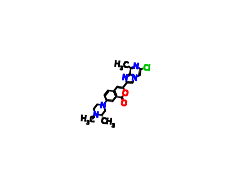 Cc1nc(Cl)cn2cc(-c3cc4ccc(N5CCN(C)[C@@H](C)C5)cc4c(=O)o3)nc12